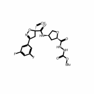 C=C[C@]1(C(=O)N[C@H]2CO[C@@H](C(=O)NNC(=O)OC(C)(C)C)C2)CC(c2cc(F)cc(F)c2)=NO1